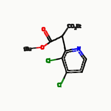 CCOC(=O)C(C(=O)OC(C)(C)C)c1nccc(Cl)c1Cl